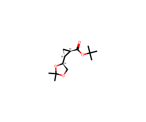 CC(C)(C)OC(=O)[C@@H]1C[C@H]1[C@H]1COC(C)(C)O1